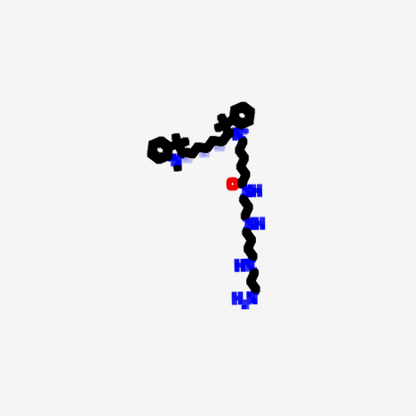 CN1/C(=C/C=C/C=C/C2=[N+](CCCCCC(=O)NCCCNCCCCNCCCN)c3ccccc3C2(C)C)C(C)(C)c2ccccc21